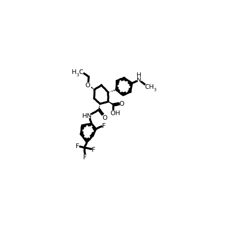 CCO[C@@H]1C[C@H](c2ccc(NC)cc2)[C@@H](C(=O)O)[C@H](C(=O)Nc2ccc(C(F)(F)F)cc2F)C1